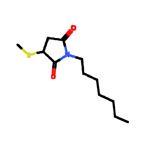 CCCCCCCN1C(=O)CC(SC)C1=O